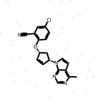 Cc1ncnc2c1ccn2[C@H]1C=C[C@@H](Oc2ccc(Cl)cc2C#N)C1